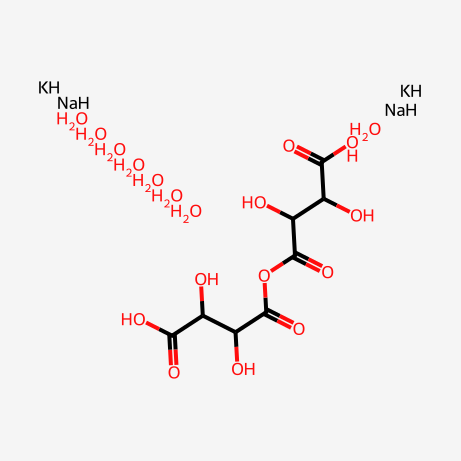 O.O.O.O.O.O.O.O.O=C(O)C(O)C(O)C(=O)OC(=O)C(O)C(O)C(=O)O.[KH].[KH].[NaH].[NaH]